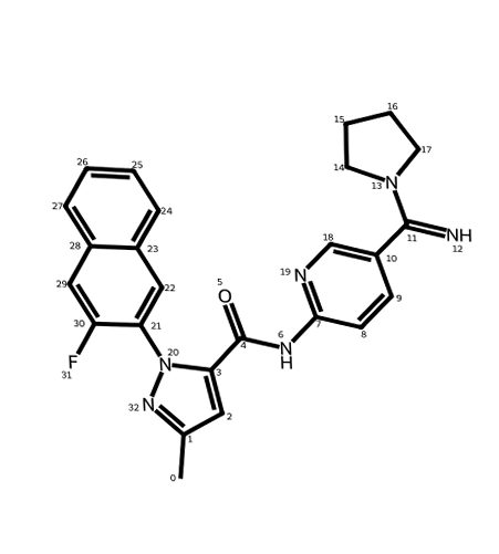 Cc1cc(C(=O)Nc2ccc(C(=N)N3CCCC3)cn2)n(-c2cc3ccccc3cc2F)n1